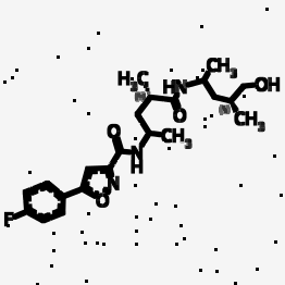 CC(C[C@H](C)C(=O)NC(C)C[C@H](C)CO)NC(=O)c1cc(-c2ccc(F)cc2)on1